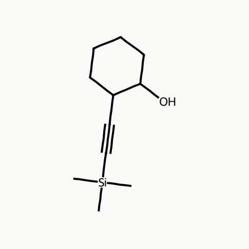 C[Si](C)(C)C#CC1CCCCC1O